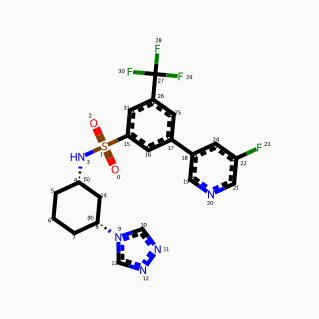 O=S(=O)(N[C@H]1CCC[C@@H](n2cnnc2)C1)c1cc(-c2cncc(F)c2)cc(C(F)(F)F)c1